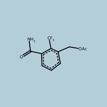 CC(=O)OCc1cccc(C(N)=O)c1C(F)(F)F